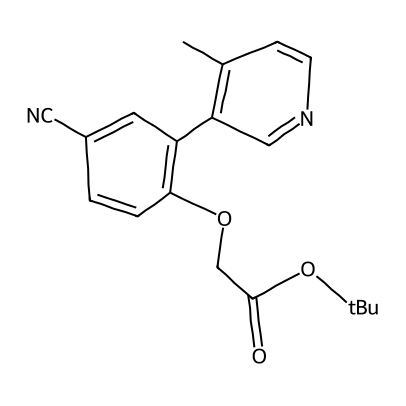 Cc1ccncc1-c1cc(C#N)ccc1OCC(=O)OC(C)(C)C